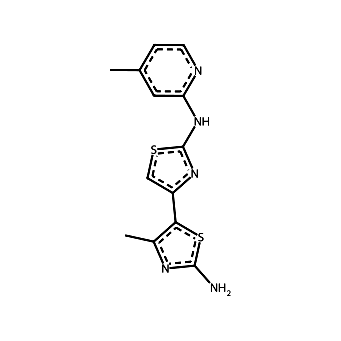 Cc1ccnc(Nc2nc(-c3sc(N)nc3C)cs2)c1